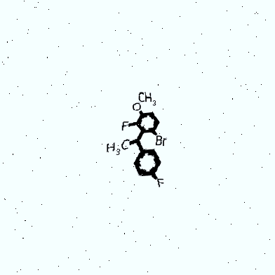 COc1ccc(Br)c(C(C)c2ccc(F)cc2)c1F